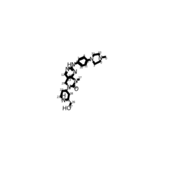 CN1CCN(c2ccc(Nc3ncc4c(n3)N(C)C(=O)N([C@H]3CCN[C@@H](CO)C3)C4)cc2)CC1